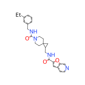 CCc1cccc(CNC(=O)N2CCC3(CC2)CC3CNC(=O)c2cc3ccncc3o2)c1